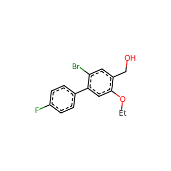 CCOc1cc(-c2ccc(F)cc2)c(Br)cc1CO